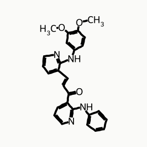 COc1ccc(Nc2ncccc2C=CC(=O)c2cccnc2Nc2ccccc2)cc1OC